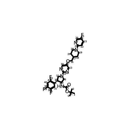 CC(C)(C)OC(=O)N[C@H]1CN(c2ncc(OCC3CCN(c4ccc(F)cn4)CC3)cn2)C[C@@H]1c1cc(F)c(F)cc1F